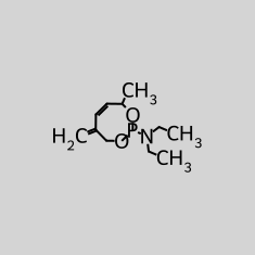 C=C1/C=C\C(C)OP(N(CC)CC)OC1